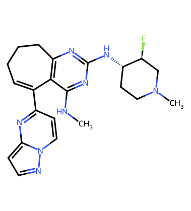 CNc1nc(N[C@H]2CCN(C)C[C@@H]2F)nc2c1C(c1ccn3nccc3n1)=CCCC2